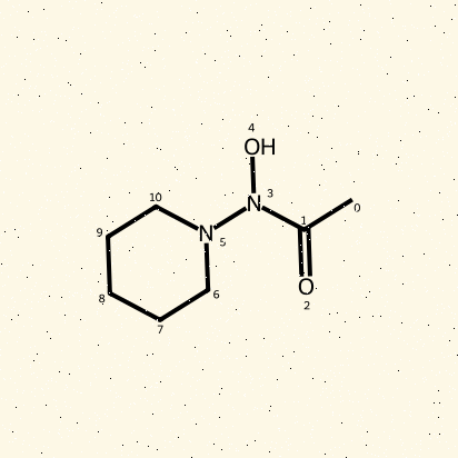 CC(=O)N(O)N1CCCCC1